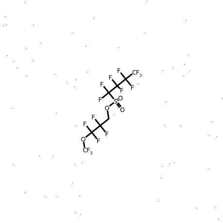 O=S(=O)(OCC(F)(F)C(F)(F)OC(F)(F)F)C(F)(F)C(F)(F)C(F)(F)C(F)(F)F